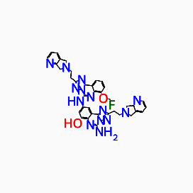 Nc1nc2c(O)cc(Nc3nc4c(OCF)cccc4c4nc(CCN5Cc6cccnc6C5)nn34)cc2c2nc(CCN3Cc4cccnc4C3)nn12